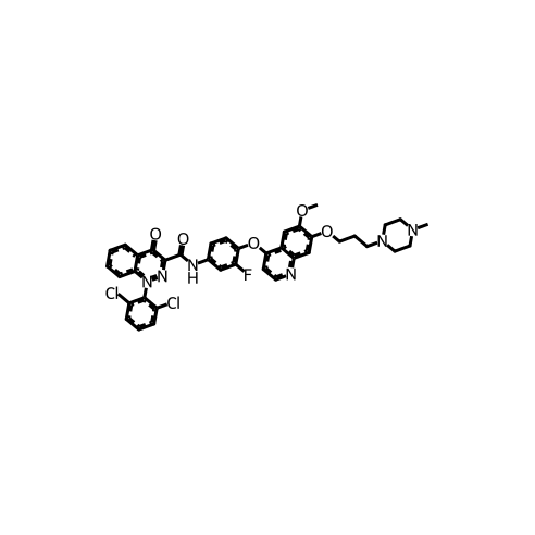 COc1cc2c(Oc3ccc(NC(=O)c4nn(-c5c(Cl)cccc5Cl)c5ccccc5c4=O)cc3F)ccnc2cc1OCCCN1CCN(C)CC1